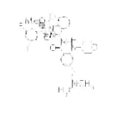 COC(=O)[N+]1(S(=O)(=O)c2cc(F)cc(F)c2)N=C(NC(=O)c2ccc(CCN(C)C)cc2NC2CCOCC2)c2ccccc21